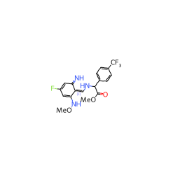 CONC1=CC(F)=CC(=N)/C1=C\NC(C(=O)OC)c1ccc(C(F)(F)F)cc1